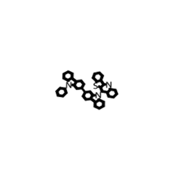 c1ccc(-n2c3ccccc3c3ccc(-c4ccc5c6ccccc6n(-c6c7ccccc7nc7c6sc6ccccc67)c5c4)cc32)cc1